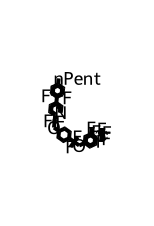 CCCCCc1cc(F)c(-c2ccc(C(F)(F)OC3CCC(C(F)(F)Oc4ccc(S(F)(F)(F)(F)F)c(F)c4)CC3)nc2)c(F)c1